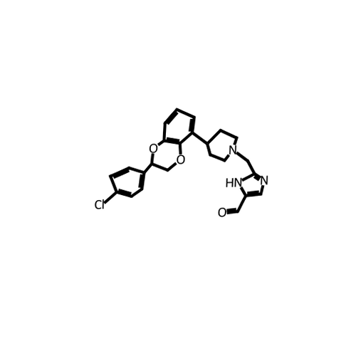 O=Cc1cnc(CN2CCC(c3cccc4c3OCC(c3ccc(Cl)cc3)O4)CC2)[nH]1